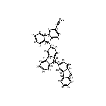 N#Cc1ccc2c(c1)c1ccccc1n2-c1ccc2c(c1)c1ccccc1n2-c1ccc2sc3ccccc3c2c1